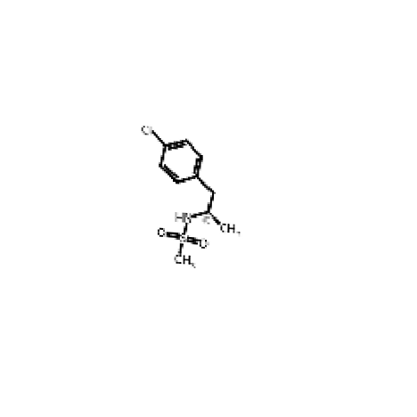 C[C@H](Cc1ccc(Cl)cc1)NS(C)(=O)=O